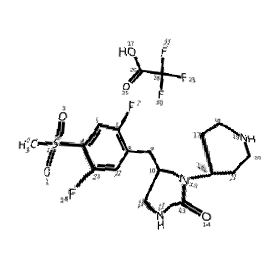 CS(=O)(=O)c1cc(F)c(CC2CNC(=O)N2C2CCNCC2)cc1F.O=C(O)C(F)(F)F